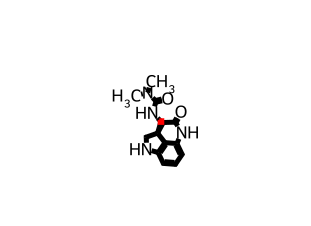 CN(C)C(=O)NCC12CNc3cccc(c31)NC(=O)C2